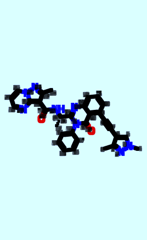 Cc1nn(C)cc1C#Cc1cccc2nc([C@H](C)NC(=O)c3c(C)nn4cccnc34)n(-c3ccccc3)c(=O)c12